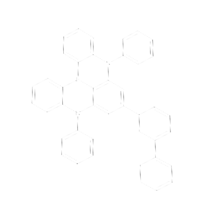 C1=CCCC(C2=CC=CC(c3cc4c5c(c3)N(c3ccccc3)c3ccccc3B5c3ccccc3N4c3ccccc3)C2)=C1